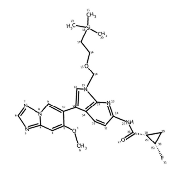 COc1cc2ncnn2cc1-c1cn(COCC[Si](C)(C)C)c2nc(NC(=O)[C@@H]3C[C@@H]3F)ccc12